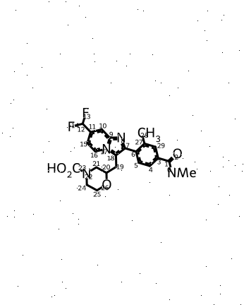 CNC(=O)c1ccc(-c2nc3cc(C(F)F)ccn3c2CC2CN(C(=O)O)CCO2)c(C)c1